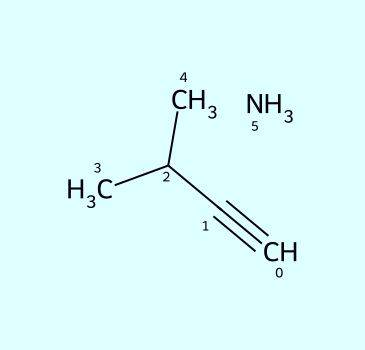 C#CC(C)C.N